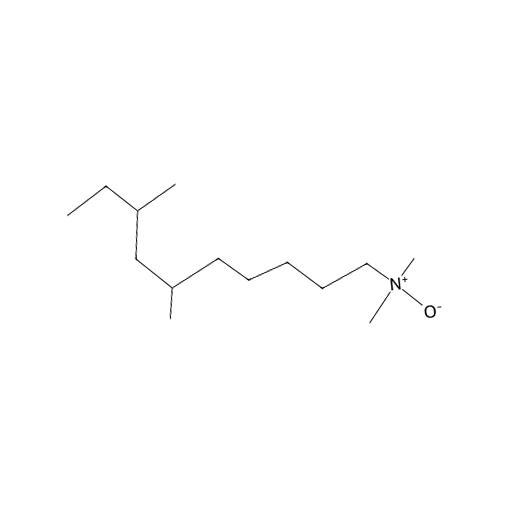 CCC(C)CC(C)CCCCC[N+](C)(C)[O-]